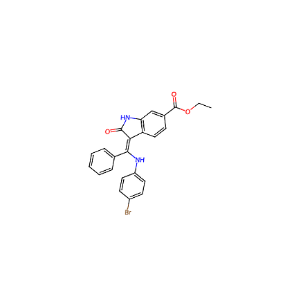 CCOC(=O)c1ccc2c(c1)NC(=O)C2=C(Nc1ccc(Br)cc1)c1ccccc1